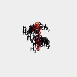 C=C1CC(CCC(=O)/C=C/C(O[Si](C)(C)C(C)(C)C)[C@@H]2O[C@H]3CCC(CC(=O)OC)OC3C(O[Si](C)(C)C(C)(C)C)C2O[Si](C)(C)C(C)(C)C)OC1CCC1CC(C)C(=C)C(CC2OC(CC(CO[Si](C)(C)C(C)(C)C)O[Si](C)(C)C(C)(C)C)C(OC)C2CS(=O)(=O)c2ccccc2)O1